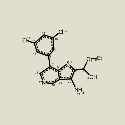 CCOC(O)c1sc2c(-c3cc(Cl)cc(Cl)c3)cncc2c1N